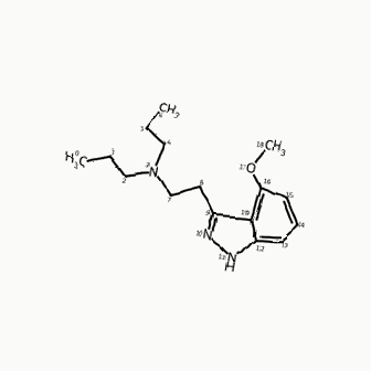 CCCN(CCC)CCc1n[nH]c2cccc(OC)c12